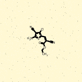 CCOC(=O)C(C#N)=Cc1sc(N)c(C#N)c1Cl